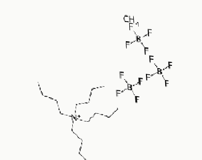 C.CCCC[N+](CCCC)(CCCC)CCCC.F[B-](F)(F)F.F[B-](F)(F)F.F[B-](F)(F)F